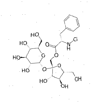 O=C(OC[C@@]1(O[C@H]2O[C@H](CO)[C@@H](O)[C@H](O)[C@H]2O)O[C@H](CO)[C@@H](O)[C@@H]1O)[C@H](Cc1ccccc1)NCl